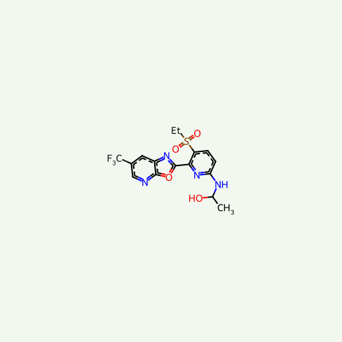 CCS(=O)(=O)c1ccc(NC(C)O)nc1-c1nc2cc(C(F)(F)F)cnc2o1